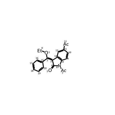 CCO/C(=C1/C(=O)N(C(C)=O)c2ccc(C(C)=O)cc21)c1ccccc1